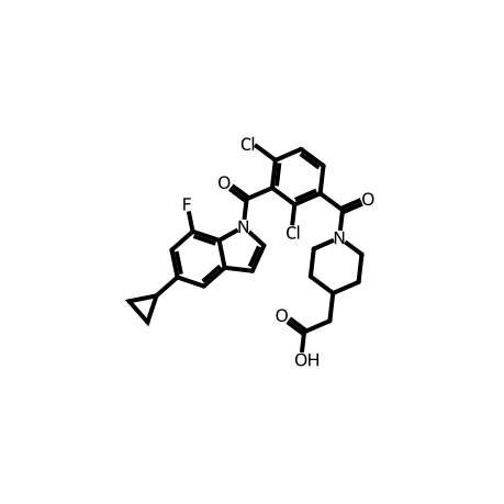 O=C(O)CC1CCN(C(=O)c2ccc(Cl)c(C(=O)n3ccc4cc(C5CC5)cc(F)c43)c2Cl)CC1